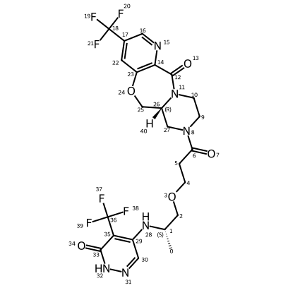 C[C@@H](COCCC(=O)N1CCN2C(=O)c3ncc(C(F)(F)F)cc3OC[C@H]2C1)Nc1cn[nH]c(=O)c1C(F)(F)F